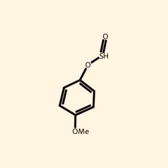 COc1ccc(O[SH]=O)cc1